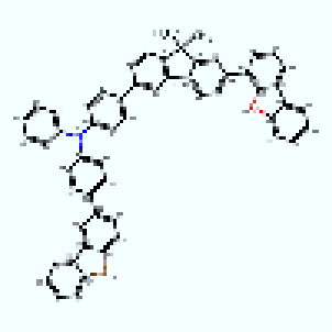 CC1(C)c2ccc(-c3ccc(N(c4ccccc4)c4ccc(-c5ccc6sc7ccccc7c6c5)cc4)cc3)cc2-c2ccc(-c3cccc4c3oc3ccccc34)cc21